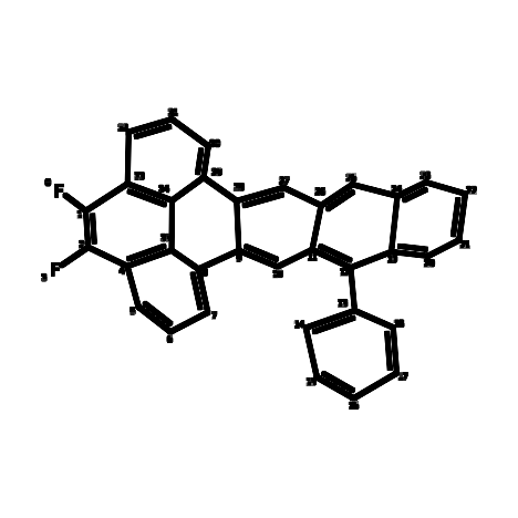 Fc1c(F)c2cccc3c4cc5c(-c6ccccc6)c6ccccc6cc5cc4c4cccc1c4c23